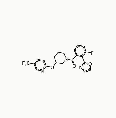 O=C(c1cccc(F)c1-c1ncco1)N1CCCC(Oc2ccc(C(F)(F)F)cn2)C1